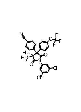 CC1(C)C(=O)N(c2cc(Cl)cc(Cl)c2)C(=O)[C@@]1(c1ccc(C#N)cc1)c1ccc(OC(F)(F)F)cc1